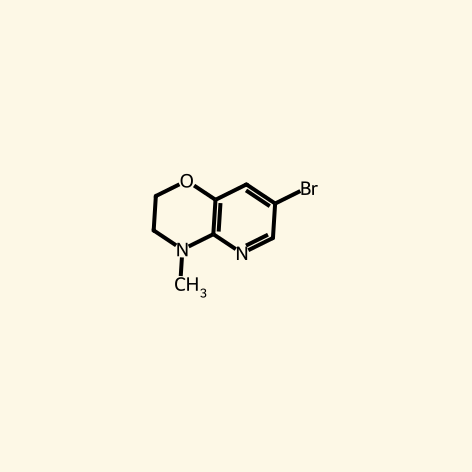 CN1CCOc2cc(Br)cnc21